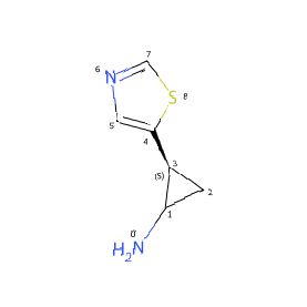 NC1C[C@@H]1c1cncs1